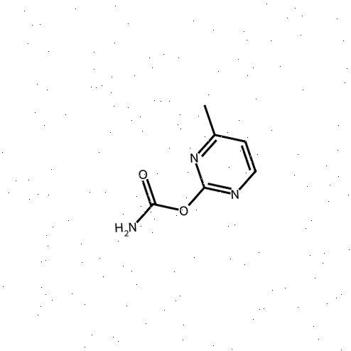 Cc1ccnc(OC(N)=O)n1